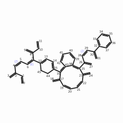 C=CC(=C)/C=C\C=C(/C(=C)C=C)C1=CC=C(c2c(=C)ccccc(=C)c(C(=C)/C=C\C(=C)c3ccccc3)c3ccccc23)CC1